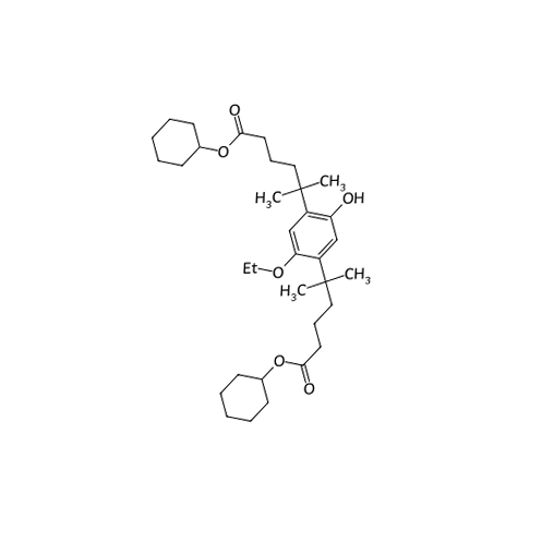 CCOc1cc(C(C)(C)CCCC(=O)OC2CCCCC2)c(O)cc1C(C)(C)CCCC(=O)OC1CCCCC1